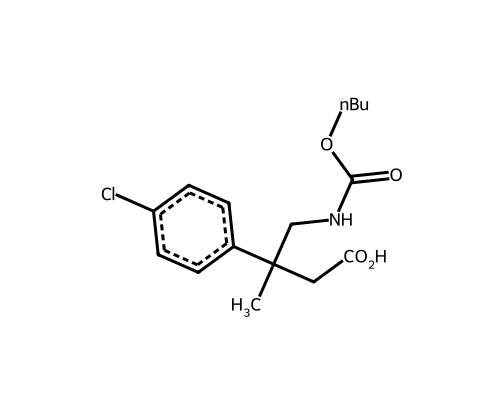 CCCCOC(=O)NCC(C)(CC(=O)O)c1ccc(Cl)cc1